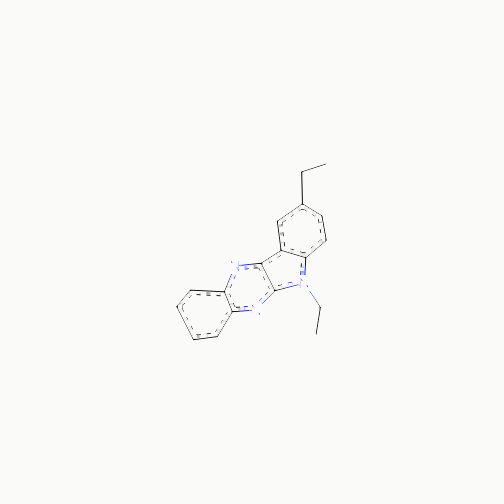 CCc1ccc2c(c1)c1nc3ccccc3nc1n2CC